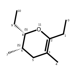 CCC1=C(C)C[C@H](C)[C@H](CC)O1